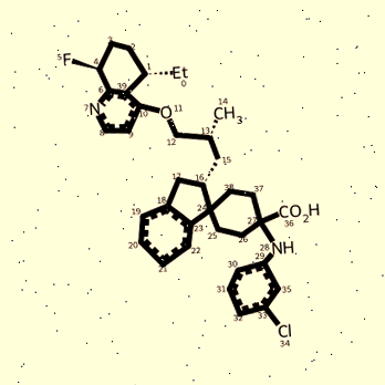 CC[C@H]1CC[C@H](F)c2nccc(OC[C@H](C)C[C@H]3Cc4ccccc4C34CCC(Nc3cccc(Cl)c3)(C(=O)O)CC4)c21